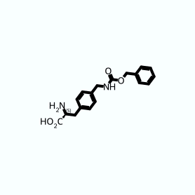 N[C@@H](Cc1ccc(CNC(=O)OCc2ccccc2)cc1)C(=O)O